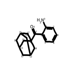 Nc1ccccc1C(=O)C12CC3CC(CC(C3)C1)C2